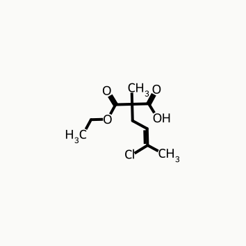 CCOC(=O)C(C)(CC=C(C)Cl)C(=O)O